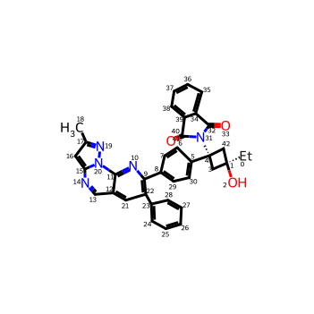 CC[C@]1(O)C[C@](c2ccc(-c3nc4c(cnc5cc(C)nn54)cc3-c3ccccc3)cc2)(N2C(=O)c3ccccc3C2=O)C1